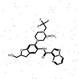 C[C@H]1CN(c2cc3c(cc2NC(=O)c2cnn4cccnc24)CC(CO)O3)CCN1CC(F)(F)F